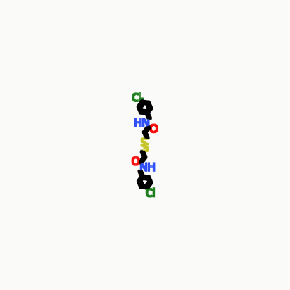 O=C(CCSSCCC(=O)NCc1ccc(Cl)cc1)NCc1ccc(Cl)cc1